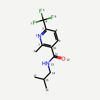 Cc1nc(C(F)(F)F)ccc1C(=O)NCC(C)C